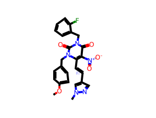 COc1ccc(Cn2c(/C=C/c3cnn(C)c3)c([N+](=O)[O-])c(=O)n(Cc3ccccc3F)c2=O)cc1